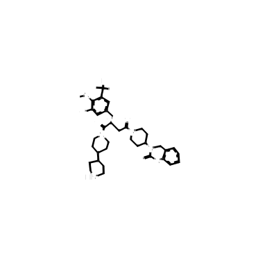 CNc1c(Cl)cc(C[C@@H](CC(=O)N2CCC(N3Cc4ccccc4NC3=O)CC2)C(=O)N2CCC(C3CCNCC3)CC2)cc1C(F)(F)F